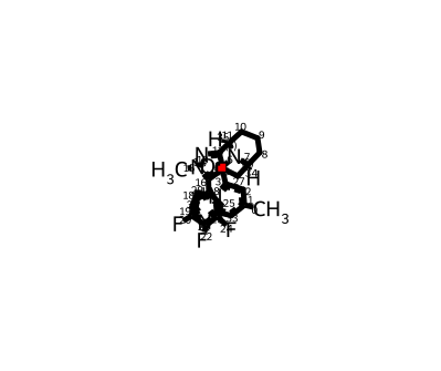 Cc1cc(C(=O)N2[C@@H]3CCC[C@H]2c2nn(C)c(-c4cc(F)c(F)c(F)c4)c2C3)n2ccnc2c1